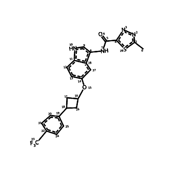 Cc1nnc(C(=O)Nc2c[nH]c3ccc(OC4CC(c5ccc(C(F)(F)F)cc5)C4)cc23)s1